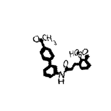 CC(=O)c1ccc(-c2cccc(NC(=O)CCc3cccc4c3B(O)OC4)c2)cc1